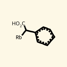 O=C(O)[CH]([Rb])c1ccccc1